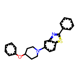 c1ccc(OC2CCN(c3ccc4sc(-c5ccccc5)nc4c3)CC2)cc1